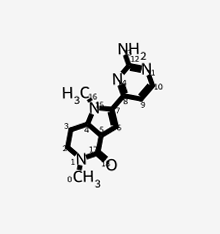 CN1CCC2C(C=C(c3ccnc(N)n3)N2C)C1=O